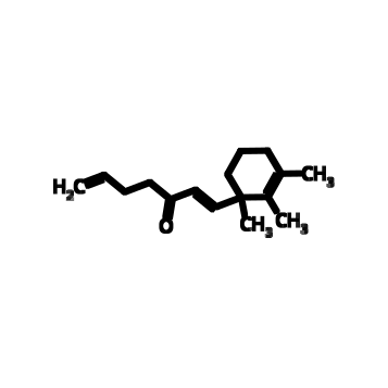 C=CCCC(=O)C=CC1(C)CCCC(C)=C1C